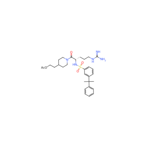 CC(=O)OCCC1CCN(C(=O)[C@H](CCCNC(=N)N)NS(=O)(=O)c2cccc(C(C)(C)c3ccccc3)c2)CC1